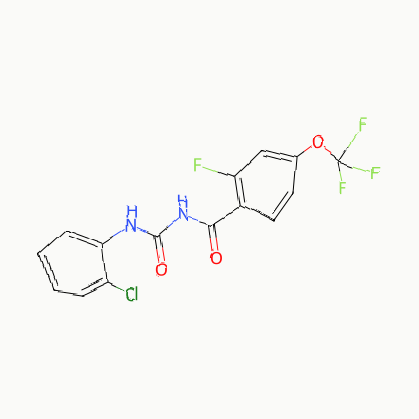 O=C(NC(=O)c1ccc(OC(F)(F)F)cc1F)Nc1ccccc1Cl